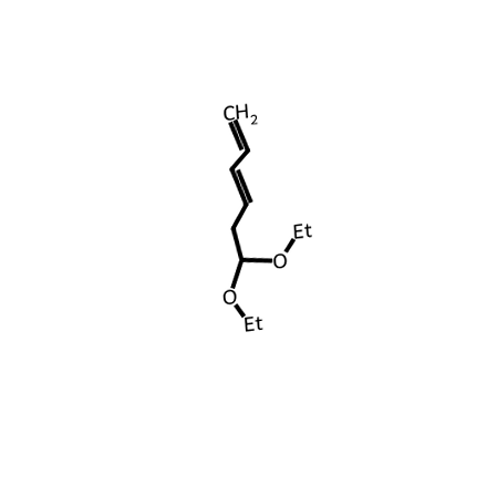 C=CC=CCC(OCC)OCC